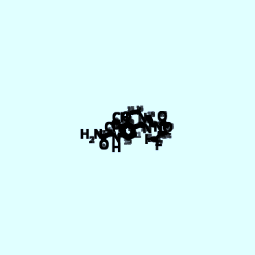 COc1c(N[C@@H](C)C(N)=O)ccc2c1OCCn1cc(N3C(=O)OC[C@H]3C(F)F)nc1-2